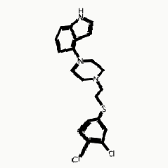 Clc1ccc(SCCN2CCN(c3cccc4[nH]ccc34)CC2)cc1Cl